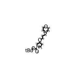 CC(C)(C)OC(=O)N1CC[C@@H](OCCCN2CCOCC2)C1